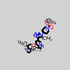 COC(COc1cc(-c2nnn(C3CCN(C(=O)OC(C)(C)C)CC3)c2C)cn2ncc(C#N)c12)c1ncccc1C